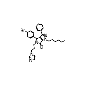 CCCCCCn1nc(-c2ccccc2)c2c1C(=O)N(CCCn1ccnc1)C2c1ccc(Br)cc1